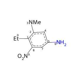 CCc1c(NC)cc(N)cc1[N+](=O)[O-]